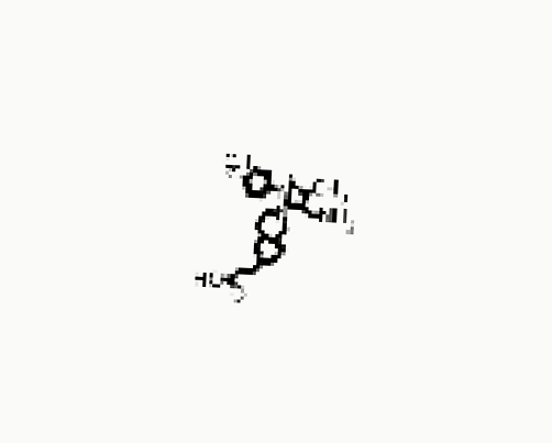 COc1ccc(-n2nc(C)c(CN)c2N2CCc3cc(CCC(=O)O)ccc3C2)cc1